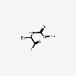 CCC(NC(=O)OC(C)(C)C)C(=O)F